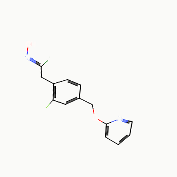 ON=C(Cl)Cc1ccc(COc2ccccn2)cc1F